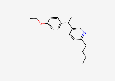 CCCCc1ccc(C(C)c2ccc(OCC)cc2)cn1